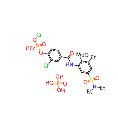 CCc1cc(S(=O)(=O)N(CC)CC)cc(NC(=O)c2ccc(OP(=O)(O)OCl)c(Cl)c2)c1OC.O=P(O)(O)O